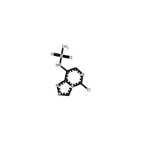 CS(=O)(=O)Nc1cnc(Cl)n2cnnc12